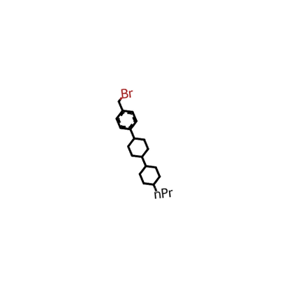 CCCC1CCC(C2CCC(c3ccc(CBr)cc3)CC2)CC1